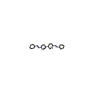 C(=C\c1ccc(-c2ccc(/C=C/c3ccccc3)nc2)cn1)/c1ccccc1